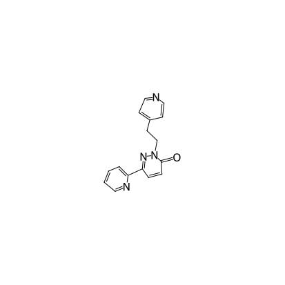 O=c1ccc(-c2ccccn2)nn1CCc1ccncc1